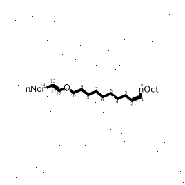 CCCCCCCC/C=C\CCCCCCCCO/C=C/CCCCCCCCC